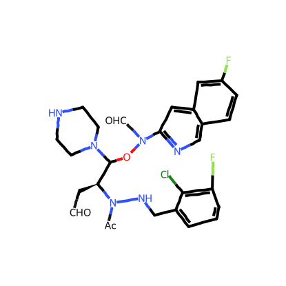 CC(=O)N(NCc1cccc(F)c1Cl)[C@@H](CC=O)C(ON(C=O)c1cc2cc(F)ccc2cn1)N1CCNCC1